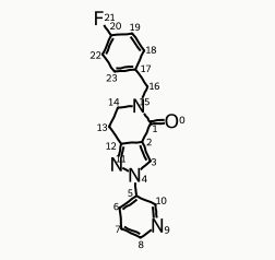 O=C1c2cn(-c3cccnc3)nc2CCN1Cc1ccc(F)cc1